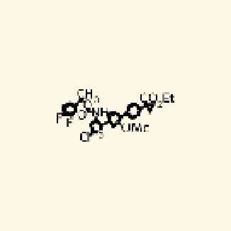 CCOC(=O)C1(c2ccc(-c3ccc(-c4sc(Cl)cc4NC(=O)O[C@H](C)c4ccc(F)c(F)c4)cc3OC)cc2)CC1